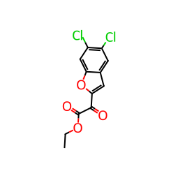 CCOC(=O)C(=O)c1cc2cc(Cl)c(Cl)cc2o1